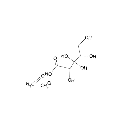 C.C=O.O=C(O)C(O)C(O)(O)C(O)CO.[C]